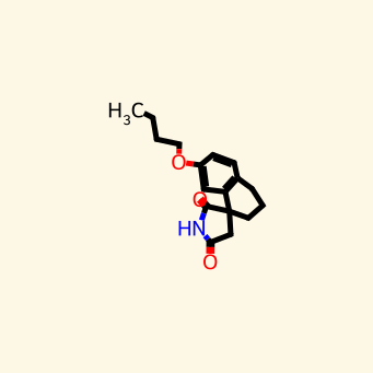 CCCCOc1ccc2c(c1)C1(CCC2)CC(=O)NC1=O